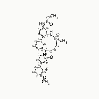 COC(=O)Nc1ccc2c(c1)NC(=O)C(C)CCCC(N1CCC(c3cccc(OC)c3F)=CC1=O)c1cc-2ccn1